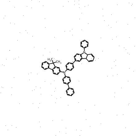 CC1(C)c2ccccc2-c2ccc(N(c3ccc(-c4ccccc4)cc3)c3ccc(-c4ccc5c(c4)C4C=CC=CC4N5c4ccccc4)cc3)cc21